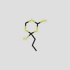 CCCC1(S)SCSC(S)S1